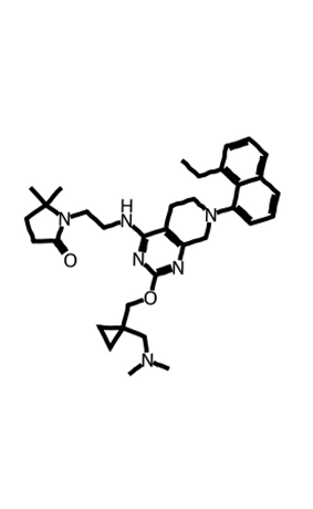 CCc1cccc2cccc(N3CCc4c(nc(OCC5(CN(C)C)CC5)nc4NCCN4C(=O)CCC4(C)C)C3)c12